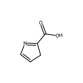 O=C(O)C1=NC=CC1